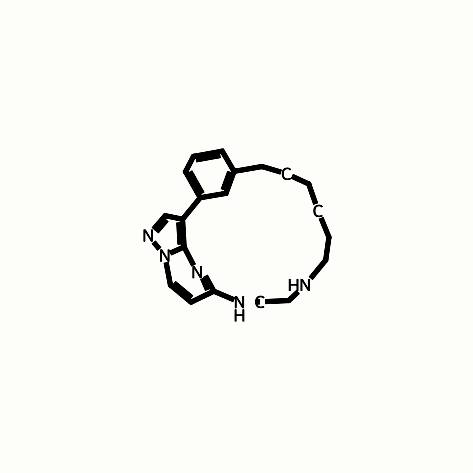 c1cc2cc(c1)-c1cnn3ccc(nc13)NCCNCCCCCC2